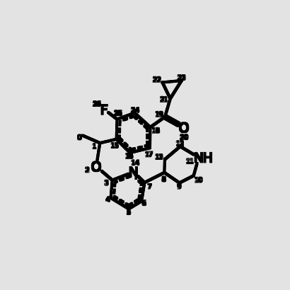 CC(Oc1cccc(C2CCNCC2)n1)c1ccc(C(=O)C2CC2)cc1F